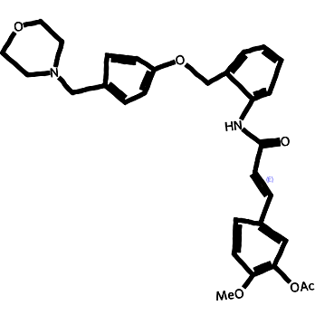 COc1ccc(/C=C/C(=O)Nc2ccccc2COc2ccc(CN3CCOCC3)cc2)cc1OC(C)=O